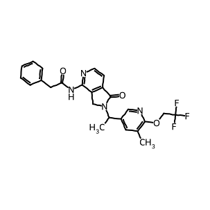 Cc1cc(C(C)N2Cc3c(ccnc3NC(=O)Cc3ccccc3)C2=O)cnc1OCC(F)(F)F